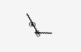 CCCCCCCCCCCC(=O)N(CC)CCCCCCOC(=O)CCCCCCCCC